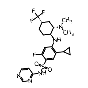 CN(C)[C@H]1C[C@@H](C(F)(F)F)CC[C@@H]1Nc1cc(F)c(S(=O)(=O)Nc2ccncn2)cc1C1CC1